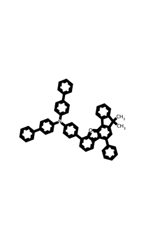 CC1(C)c2ccccc2-c2c1cc(-c1ccccc1)c1c2oc2c(-c3ccc(N(c4ccc(-c5ccccc5)cc4)c4ccc(-c5ccccc5)cc4)cc3)cccc21